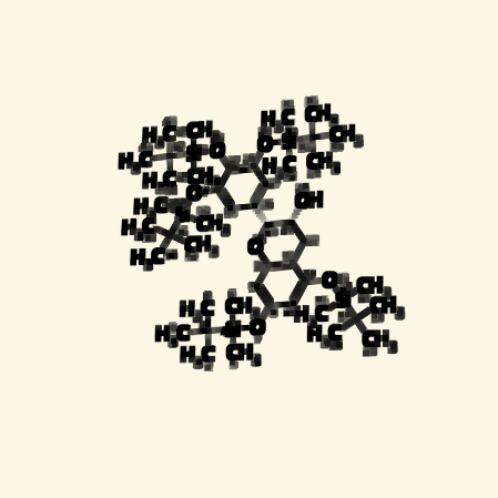 CC(C)(C)[Si](C)(C)Oc1cc2c(c(O[Si](C)(C)C(C)(C)C)c1)C[C@@H](O)[C@@H](c1cc(O[Si](C)(C)C(C)(C)C)c(O[Si](C)(C)C(C)(C)C)c(O[Si](C)(C)C(C)(C)C)c1)O2